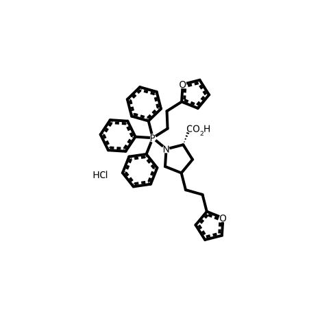 Cl.O=C(O)[C@@H]1CC(CCc2ccco2)CN1P(CCc1ccco1)(c1ccccc1)(c1ccccc1)c1ccccc1